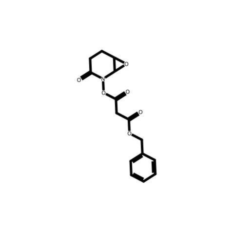 O=C(CC(=O)ON1C(=O)CCC2OC21)OCc1ccccc1